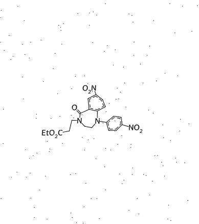 CCOC(=O)CCN1CCN(c2ccc([N+](=O)[O-])cc2)c2ccc([N+](=O)[O-])cc2C1=O